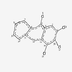 Clc1[c]c2c(Cl)c3cc[c]cc3cc2c(Cl)c1Cl